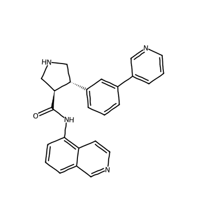 O=C(Nc1cccc2cnccc12)[C@H]1CNC[C@@H]1c1cccc(-c2cccnc2)c1